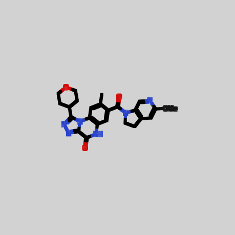 COc1cc2c(cn1)N(C(=O)c1cc3[nH]c(=O)c4nnc(C5CCOCC5)n4c3cc1C)CC2